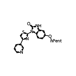 CCCCCOc1ccc2c(c1)[nH]c(=O)n2-c1nc(-c2cccnc2)cs1